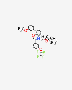 CC(C)(C)[Si](C)(C)OCCN1c2cccc(-c3cccc(OC(F)(F)F)c3)c2OCC1c1cccc(OC(F)(F)C(F)F)c1